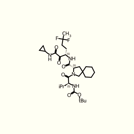 CC(C)[C@H](NC(=O)OC(C)(C)C)C(=O)N1CC2(CCCCC2)C[C@H]1C(=O)N[C@@H](CCC(C)(F)F)C(=O)C(=O)NC1CC1